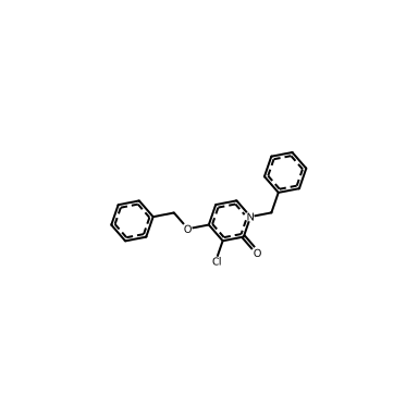 O=c1c(Cl)c(OCc2ccccc2)ccn1Cc1ccccc1